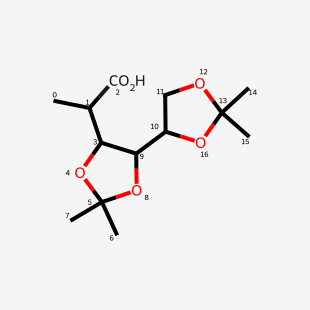 CC(C(=O)O)C1OC(C)(C)OC1C1COC(C)(C)O1